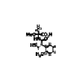 CO[C@](C)(NC(=O)[C@@H](CS)c1ccccc1C)C(=O)O